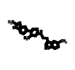 Cc1ccc2[nH]cc(CCNc3ncc(-c4ccc5[nH]c(C)nc5c4)c(N)n3)c2c1